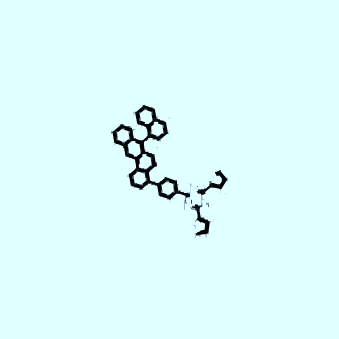 c1csc(-c2nc(-c3ccc(-c4cccc5c4ccc4c(-c6cccc7ccccc67)c6ccccc6cc45)cc3)nc(-c3cccs3)n2)c1